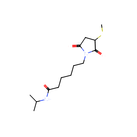 CSC1CC(=O)N(CCCCCC(=O)NC(C)C)C1=O